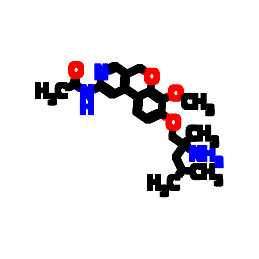 COc1c(OCC(C)(N)CC(C)C)ccc2c1OCc1cnc(NC(C)=O)cc1-2